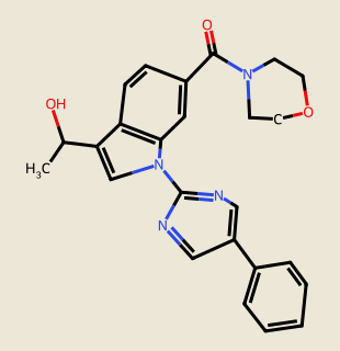 CC(O)c1cn(-c2ncc(-c3ccccc3)cn2)c2cc(C(=O)N3CCOCC3)ccc12